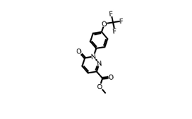 COC(=O)c1ccc(=O)n(-c2ccc(OC(F)(F)F)cc2)n1